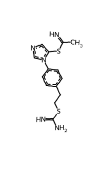 CC(=N)Sc1cncn1-c1ccc(CCSC(=N)N)cc1